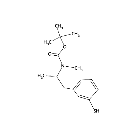 C[C@@H](Cc1cccc(S)c1)N(C)C(=O)OC(C)(C)C